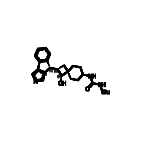 CC(C)(C)NC(=O)N[C@H]1CC[C@@]2(CC1)C[C@@H]([C@H]1c3ccccc3-c3cncn31)[C@H]2O